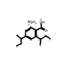 CCC(C)c1ccc(C(=O)O)c(C(C)CC)c1.[MgH2]